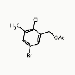 CC(=O)OCc1cc(Br)cc(C)c1Cl